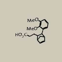 COc1cccc(C2C3C=CC(C3)C2CCC(=O)O)c1OC